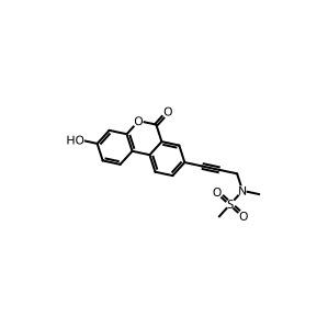 CN(CC#Cc1ccc2c(c1)c(=O)oc1cc(O)ccc12)S(C)(=O)=O